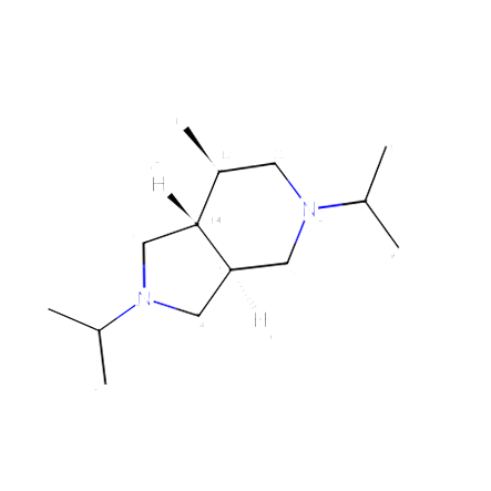 CC(C)N1C[C@@H]2CN(C(C)C)C[C@H](C)[C@H]2C1